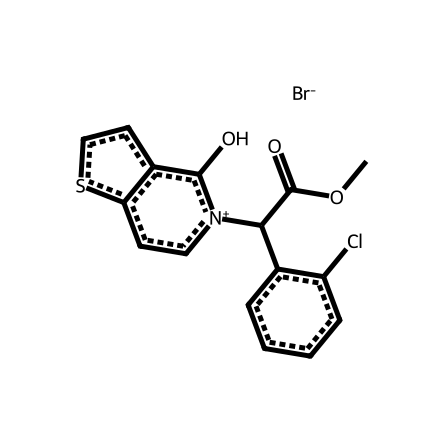 COC(=O)C(c1ccccc1Cl)[n+]1ccc2sccc2c1O.[Br-]